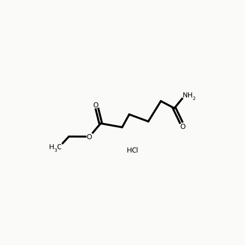 CCOC(=O)CCCCC(N)=O.Cl